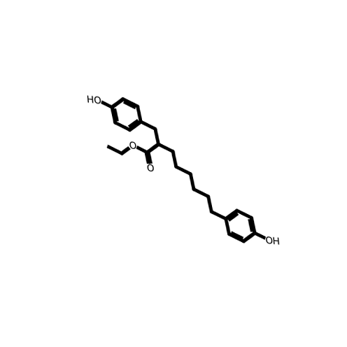 CCOC(=O)C(CCCCCCc1ccc(O)cc1)Cc1ccc(O)cc1